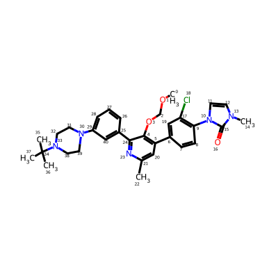 COCOc1c(-c2ccc(-n3ccn(C)c3=O)c(Cl)c2)cc(C)nc1-c1cccc(N2CCN(C(C)(C)C)CC2)c1